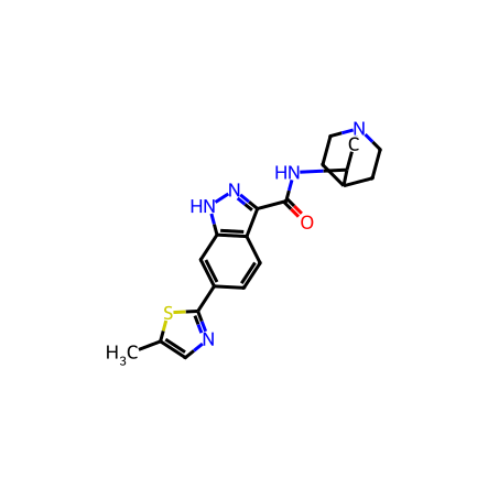 Cc1cnc(-c2ccc3c(C(=O)NC4CN5CCC4CC5)n[nH]c3c2)s1